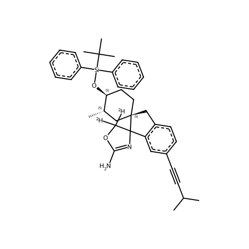 [2H]C1([2H])OC(N)=NC12c1cc(C#CC(C)C)ccc1C[C@@]21CC[C@H](O[Si](c2ccccc2)(c2ccccc2)C(C)(C)C)[C@@H](C)C1